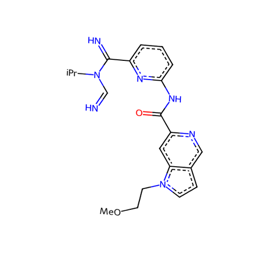 COCCn1ccc2cnc(C(=O)Nc3cccc(C(=N)N(C=N)C(C)C)n3)cc21